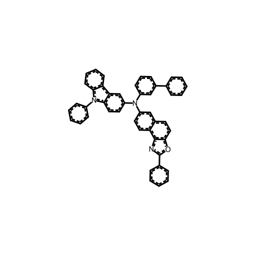 c1ccc(-c2cccc(N(c3ccc4c(ccc5oc(-c6ccccc6)nc54)c3)c3ccc4c(c3)c3ccccc3n4-c3ccccc3)c2)cc1